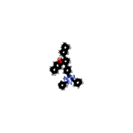 c1ccc(-c2nc(-c3ccccc3)nc(-c3ccc(-c4ccc(-c5ccc6ccccc6c5)c5oc6cc7ccccc7cc6c45)cc3)n2)cc1